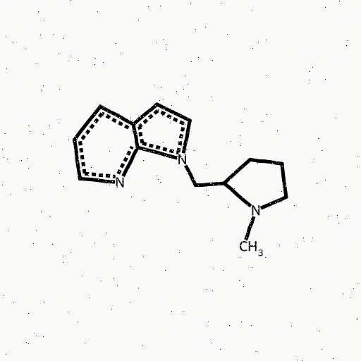 CN1CCCC1Cn1ccc2cccnc21